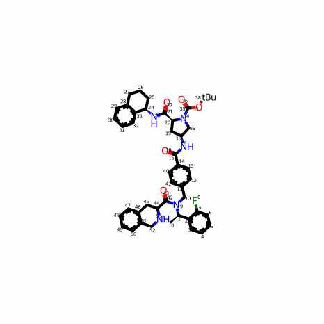 C[C@H](c1ccccc1F)N(Cc1ccc(C(=O)N[C@H]2C[C@@H](C(=O)N[C@@H]3CCCc4ccccc43)N(C(=O)OC(C)(C)C)C2)cc1)C(=O)C1Cc2ccccc2CN1